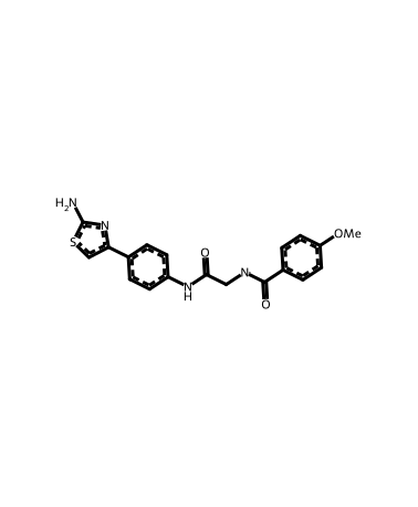 COc1ccc(C(=O)[N]CC(=O)Nc2ccc(-c3csc(N)n3)cc2)cc1